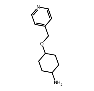 NC1CCC(OCc2ccncc2)CC1